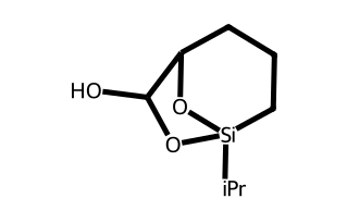 CC(C)[Si]12CCCC(O1)C(O)O2